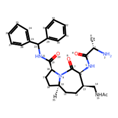 CC[C@H](N)C(=O)N[C@@H]1C(=O)N2[C@@H](CC[C@@H]1CNC(C)=O)CC[C@H]2C(=O)NC(c1ccccc1)c1ccccc1